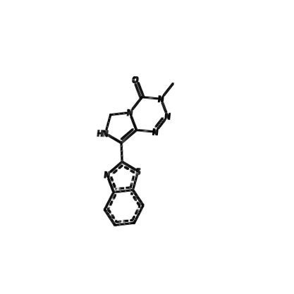 CN1N=NC2=C(c3nc4ccccc4s3)NCN2C1=O